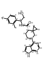 Cc1cc(F)ccc1C(CO)NC(=O)[C@H]1CCN(c2ncnc3[nH]ccc23)CC12CC2